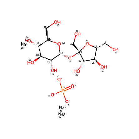 O=P([O-])([O-])[O-].OC[C@H]1O[C@@](CO)(O[C@H]2O[C@H](CO)[C@@H](O)[C@H](O)[C@H]2O)[C@@H](O)[C@@H]1O.[Na+].[Na+].[Na+]